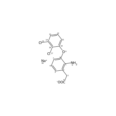 Nc1c(CC(=O)[O-])cccc1Oc1cccc(Cl)c1Cl.[Na+]